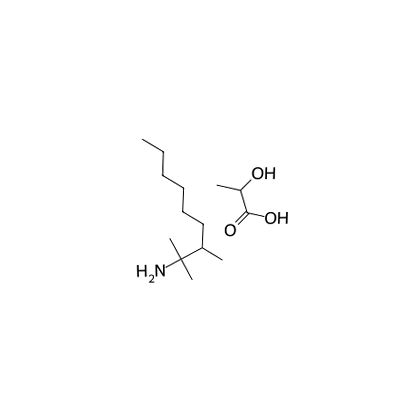 CC(O)C(=O)O.CCCCCCC(C)C(C)(C)N